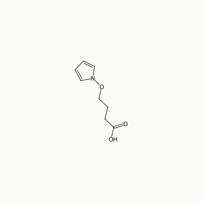 O=C(O)CCCOn1cccc1